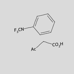 CC(=O)CC(=O)O.FC(F)(F)Nc1ccccc1